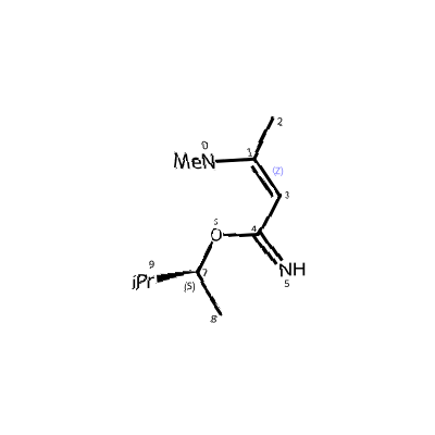 CN/C(C)=C\C(=N)O[C@@H](C)C(C)C